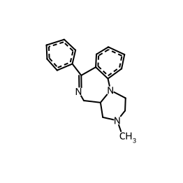 CN1CCN2c3ccccc3C(c3ccccc3)=NCC2C1